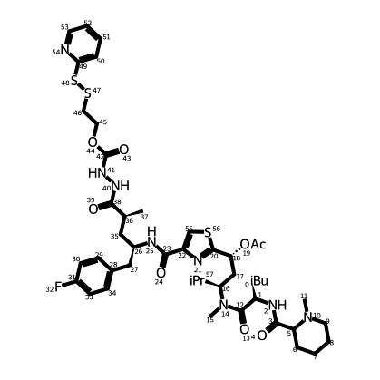 CC[C@H](C)C(NC(=O)C1CCCCN1C)C(=O)N(C)[C@H](C[C@@H](OC(C)=O)c1nc(C(=O)N[C@@H](Cc2ccc(F)cc2)C[C@H](C)C(=O)NNC(=O)OCCSSc2ccccn2)cs1)C(C)C